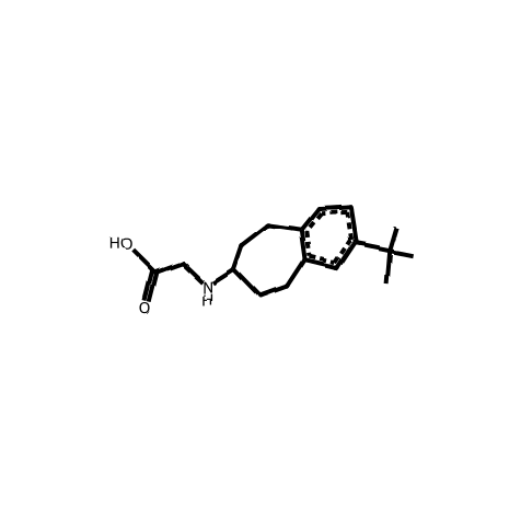 CC(C)(C)c1ccc2c(c1)CCC(NCC(=O)O)CC2